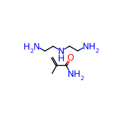 C=C(C)C(N)=O.NCCNCCN